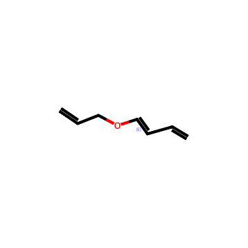 C=C/C=C/OCC=C